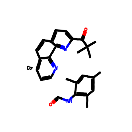 CC(C)(C)C(=O)c1ccc2ccc3cccnc3c2n1.Cc1cc(C)c(NC=O)c(C)c1.[Co]